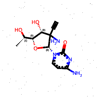 C#CC1(N)[C@@H](O)[C@@H]([C@H](C)O)O[C@H]1n1ccc(N)nc1=O